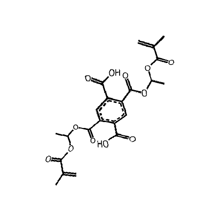 C=C(C)C(=O)OC(C)OC(=O)c1cc(C(=O)O)c(C(=O)OC(C)OC(=O)C(=C)C)cc1C(=O)O